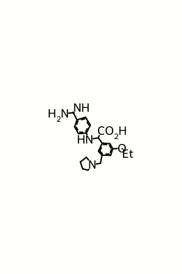 CCOc1cc(CN2CCCC2)cc(C(Nc2ccc(C(=N)N)cc2)C(=O)O)c1